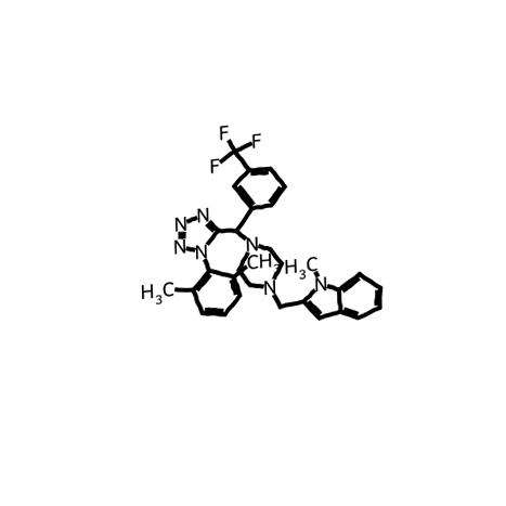 Cc1cccc(C)c1-n1nnnc1C(c1cccc(C(F)(F)F)c1)N1CCN(Cc2cc3ccccc3n2C)CC1